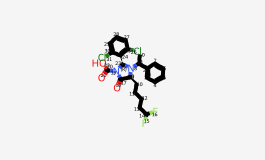 CC(c1ccccc1)N1[C@@H](CCCCC(F)F)C(=O)N(C(=O)O)[C@@H]1c1c(Cl)cccc1Cl